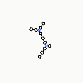 c1ccc(-c2ccc(-c3ccc(N(c4ccccc4)c4ccc(-c5ccc(-c6ccc(N(c7ccc(-c8ccccc8)cc7)c7ccc(-c8ccccc8)cc7)cc6)cc5)cc4)cc3)cc2)cc1